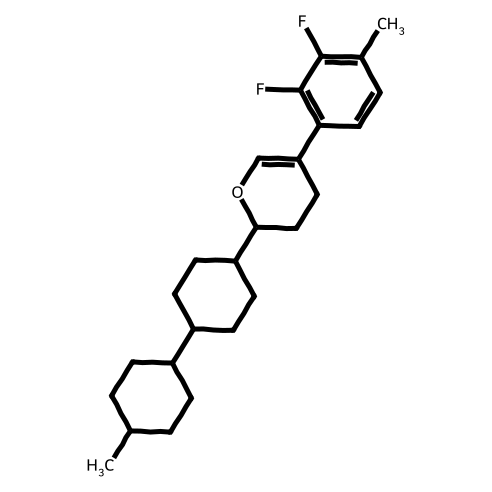 Cc1ccc(C2=COC(C3CCC(C4CCC(C)CC4)CC3)CC2)c(F)c1F